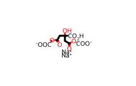 O=C([O-])OC(=O)CC(O)(CC(=O)OC(=O)[O-])C(=O)O.[Na+].[Na+]